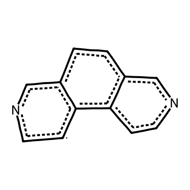 [c]1cncc2ccc3cnccc3c12